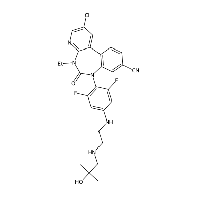 CCN1C(=O)N(c2c(F)cc(NCCNCC(C)(C)O)cc2F)c2cc(C#N)ccc2-c2cc(Cl)cnc21